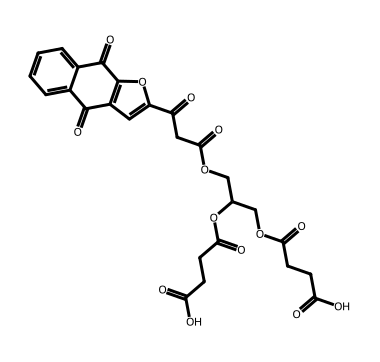 O=C(O)CCC(=O)OCC(COC(=O)CC(=O)c1cc2c(o1)C(=O)c1ccccc1C2=O)OC(=O)CCC(=O)O